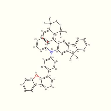 CC1(C)CCC(C)(C)c2c(-c3cc4c(cc3N(c3ccccc3)c3ccc(-c5cccc6c5oc5ccccc56)cc3)C(C)(C)c3ccccc3-4)cccc21